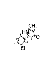 CC1=CC(=O)CC(c2cccc(Cl)c2)N1